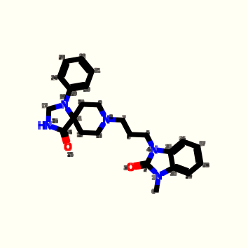 Cn1c(=O)n(CCCN2CCC3(CC2)C(=O)NCN3c2ccccc2)c2ccccc21